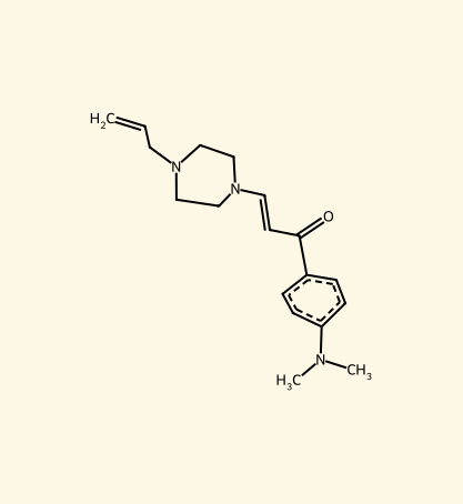 C=CCN1CCN(C=CC(=O)c2ccc(N(C)C)cc2)CC1